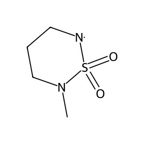 CN1CCC[N]S1(=O)=O